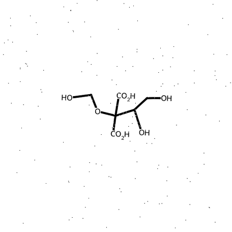 O=C(O)C(OCO)(C(=O)O)C(O)CO